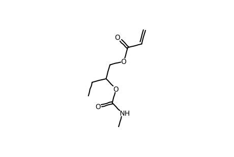 C=CC(=O)OCC(CC)OC(=O)NC